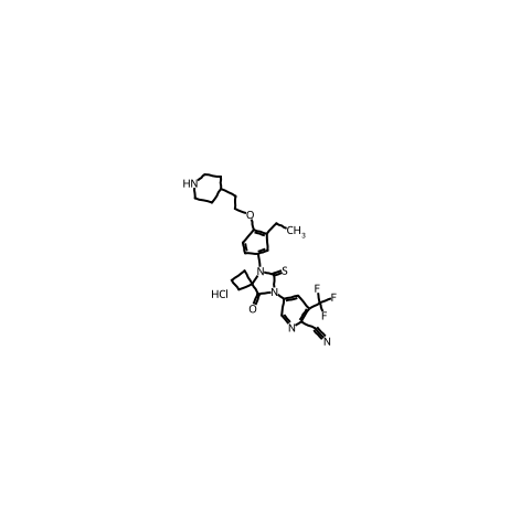 CCc1cc(N2C(=S)N(c3cnc(C#N)c(C(F)(F)F)c3)C(=O)C23CCC3)ccc1OCCC1CCNCC1.Cl